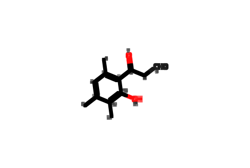 Cc1cc(C)c(C(=O)CC=O)c(O)c1C